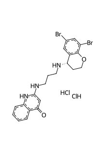 Cl.Cl.O=c1cc(NCCCN[C@H]2CCOc3c(Br)cc(Br)cc32)[nH]c2ccccc12